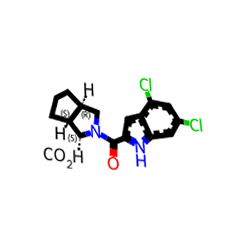 O=C(O)[C@@H]1[C@H]2CCC[C@H]2CN1C(=O)c1cc2c(Cl)cc(Cl)cc2[nH]1